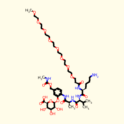 CNC(=O)OCc1ccc(NC(=O)[C@H](C)NC(=O)[C@@H](NC(=O)[C@H](CCCCN)NC(=O)CCOCCOCCOCCOCCOCCOCCOCCOC)C(C)C)c(O[C@@H]2O[C@H](C(=O)O)[C@@H](O)[C@H](O)[C@H]2O)c1